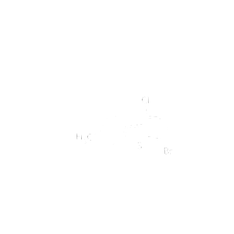 Cc1ccc2c(c1)sc1c(Br)ccc(Cl)c12